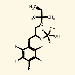 C=CC(C)(C)OCC(Cc1c(F)c(F)c(F)c(F)c1F)OP(O)(O)(F)F